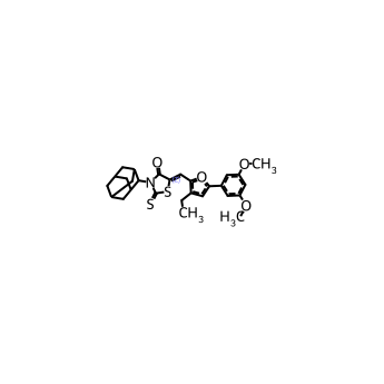 CCc1cc(-c2cc(OC)cc(OC)c2)oc1/C=C1\SC(=S)N(C2C3CC4CC(C3)CC2C4)C1=O